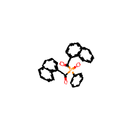 O=C(c1cccc2ccccc12)P(=O)(C(=O)c1cccc2ccccc12)c1ccccc1